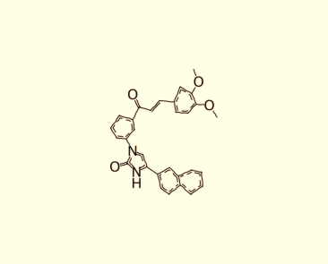 COc1ccc(/C=C/C(=O)c2cccc(-n3cc(-c4ccc5ccccc5c4)[nH]c3=O)c2)cc1OC